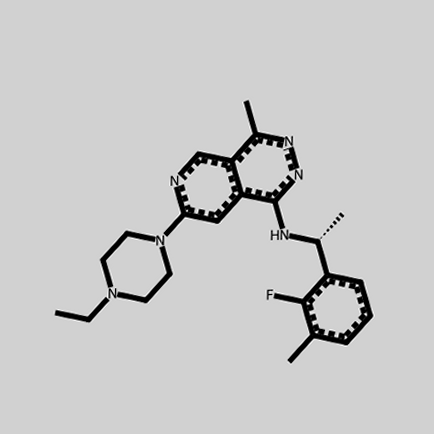 CCN1CCN(c2cc3c(N[C@H](C)c4cccc(C)c4F)nnc(C)c3cn2)CC1